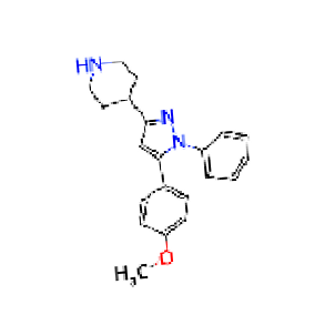 COc1ccc(-c2cc(C3CCNCC3)nn2-c2ccccc2)cc1